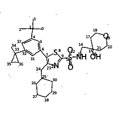 CC(C)(C)c1cc(-c2sc(S(=O)(=O)NCC3(O)CCOCC3)nc2CC2CCCCC2)cc(C2(C)CC2)c1